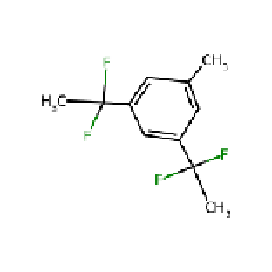 Cc1cc(C(C)(F)F)cc(C(C)(F)F)c1